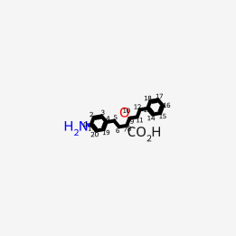 Nc1ccc(CCC(C(=O)O)C(=O)CCc2ccccc2)cc1